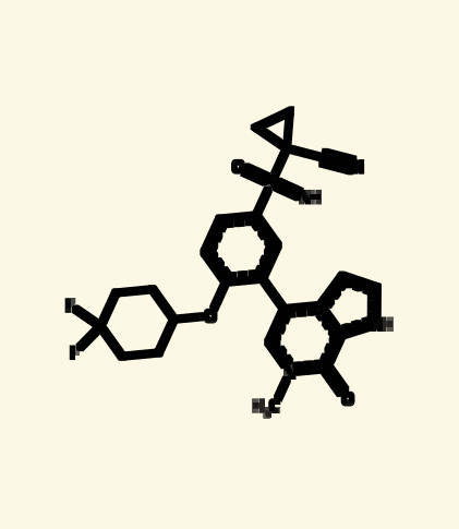 Cn1cc(-c2cc(S(=N)(=O)C3(C#N)CC3)ccc2OC2CCC(F)(F)CC2)c2cc[nH]c2c1=O